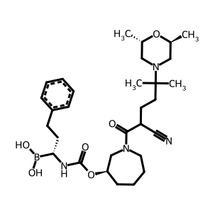 C[C@H]1CN(C(C)(C)CCC(C#N)C(=O)N2CCCC[C@@H](OC(=O)N[C@@H](CCc3ccccc3)B(O)O)C2)C[C@H](C)O1